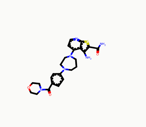 NC(=O)c1sc2nccc(N3CCCN(c4ccc(C(=O)N5CCOCC5)cc4)CC3)c2c1N